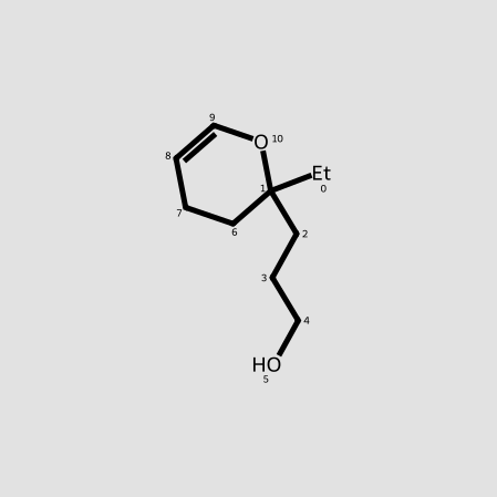 CCC1(CCCO)CCC=CO1